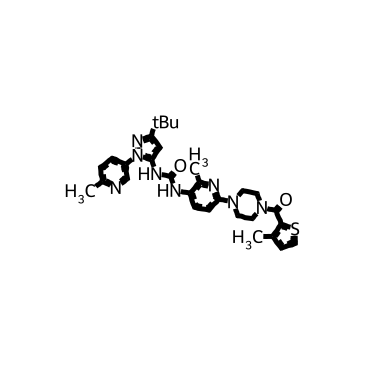 Cc1ccc(-n2nc(C(C)(C)C)cc2NC(=O)Nc2ccc(N3CCN(C(=O)c4sccc4C)CC3)nc2C)cn1